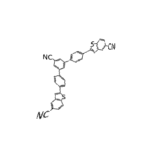 N#Cc1cc(-c2ccc(-c3cc4cc(C#N)ccc4s3)cc2)cc(-c2ccc(-c3cc4cc(C#N)ccc4s3)cc2)c1